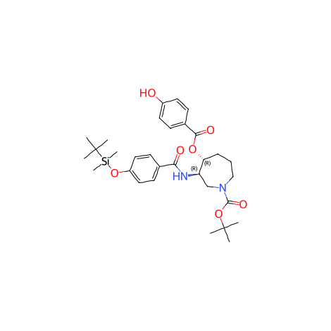 CC(C)(C)OC(=O)N1CCC[C@@H](OC(=O)c2ccc(O)cc2)[C@H](NC(=O)c2ccc(O[Si](C)(C)C(C)(C)C)cc2)C1